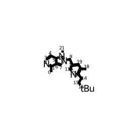 CC1=NC=CC2C1=CN(Cc1cnc(CCC(C)(C)C)c(C)c1)N2C